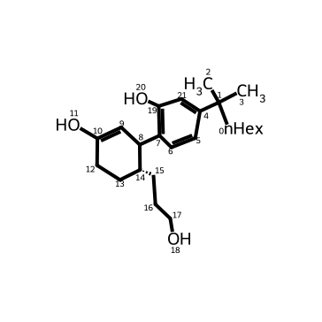 CCCCCCC(C)(C)c1ccc(C2C=C(O)CC[C@H]2CCCO)c(O)c1